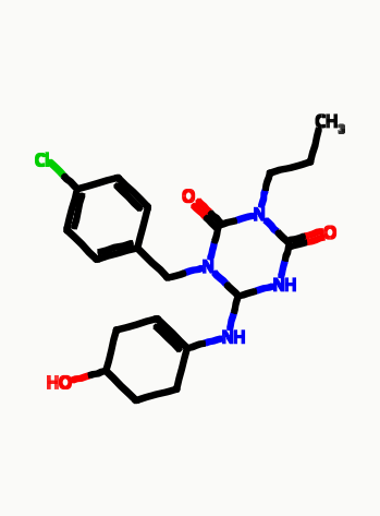 CCCN1C(=O)NC(NC2=CCC(O)CC2)N(Cc2ccc(Cl)cc2)C1=O